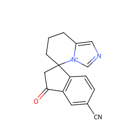 N#Cc1ccc2c(c1)C(=O)CC21CCCC2=CN=C[N+]21